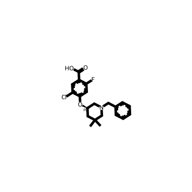 CC1(C)C[C@@H](Oc2cc(F)c(C(=O)O)cc2Cl)CN(Cc2ccccc2)C1